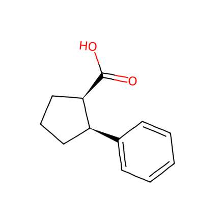 O=C(O)[C@@H]1CCC[C@@H]1c1ccccc1